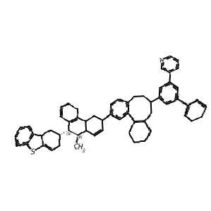 C[C@@H]1C2C=CC(c3ccc4c(c3)C3CCCCC3CC(c3cc(C5=CCCC=C5)cc(-c5cccnc5)c3)CC4)CC2C2=C(C=CCC2)[C@H]1C1CC=C2Sc3ccccc3C2C1